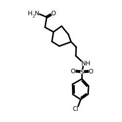 NC(=O)CC1CCC(CCNS(=O)(=O)c2ccc(Cl)cc2)CC1